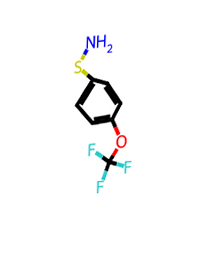 NSc1ccc(OC(F)(F)F)cc1